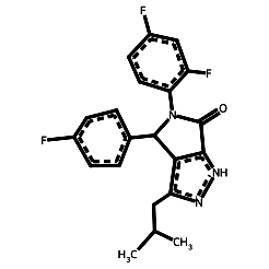 CC(C)Cc1n[nH]c2c1C(c1ccc(F)cc1)N(c1ccc(F)cc1F)C2=O